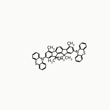 Cc1cc(N2c3ccccc3Sc3ccccc32)cc2c1-c1ccc3c(c1C2(C)C)C(C)(C)c1cc(N2c4ccccc4Sc4ccccc42)cc(C)c1-3